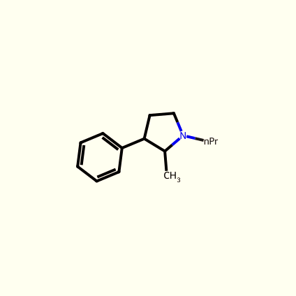 CCCN1CCC(c2ccccc2)C1C